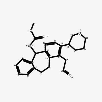 COC(=O)NC1c2ccccc2CCc2c1ccc(C1CCCOC1)c2CC=O